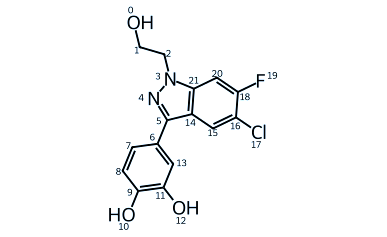 OCCn1nc(-c2ccc(O)c(O)c2)c2cc(Cl)c(F)cc21